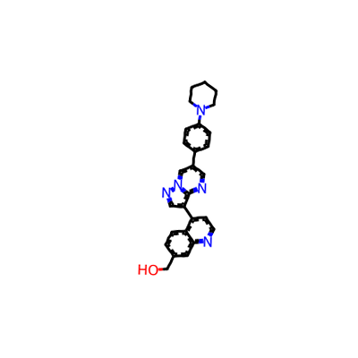 OCc1ccc2c(-c3cnn4cc(-c5ccc(N6CCCCC6)cc5)cnc34)ccnc2c1